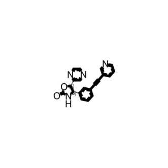 O=C1N[C@@H](c2cccc(C#Cc3cccnc3)c2)[C@@H](c2cnccn2)O1